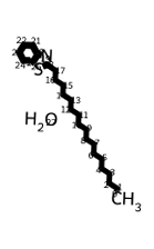 CCCCCCCCCCCCCCCCCCc1nc2ccccc2s1.O